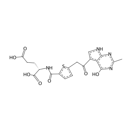 Cc1nc(O)c2c(C(=O)Cc3ccc(C(=O)N[C@@H](CCC(=O)O)C(=O)O)s3)c[nH]c2n1